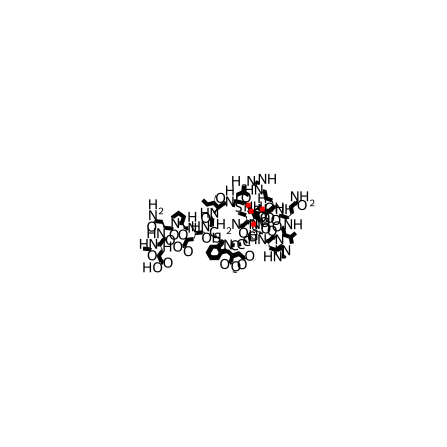 CC[C@H](C)[C@@H]1NC(=O)[C@@H](NC(O)[C@H](CCC(=O)O)NC(=O)[C@@H]2CCCN2C(=O)[C@H](CC(N)=O)NC(=O)[C@H](CCC(=O)O)NC(C)=O)CSc2c3ccccc3c(/C(=C/C(=O)OC)C(=O)OC)n2CCCC[C@@H](C(=O)N[C@@H](Cc2cnc[nH]2)C(=O)N[C@H](C(=O)N[C@@H](CCC(N)=O)C(=O)N[C@@H](CCCNC(=N)N)C(=O)N[C@H](C(=O)N[C@@H](CCSC)C(N)=O)C(C)C)C(C)C)NC(=O)[C@H](CC(=O)O)NC(=O)[C@H](CC(C)C)NC1=O